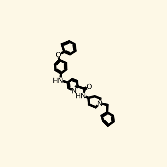 O=C(NC1CCN(Cc2ccccc2)CC1)c1ccc(Nc2ccc(Oc3ccccc3)cc2)cn1